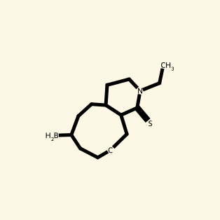 BC1CCCCC2C(=S)N(CC)CCC2CC1